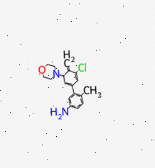 C=C1C(Cl)=CC(c2cc(N)ccc2C)=CC1N1CCOCC1